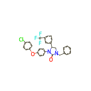 O=C1N(Cc2ccccc2)CC(c2cccc(C(F)(F)F)c2)N1c1ccc(Oc2ccc(Cl)cc2)cc1